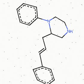 C(=Cc1ccccc1)CC1CNCCN1c1ccccc1